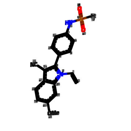 C=Cn1c(-c2ccc(NS(=O)(=O)CC)cc2)c(C#N)c2ccc(OC)cc21